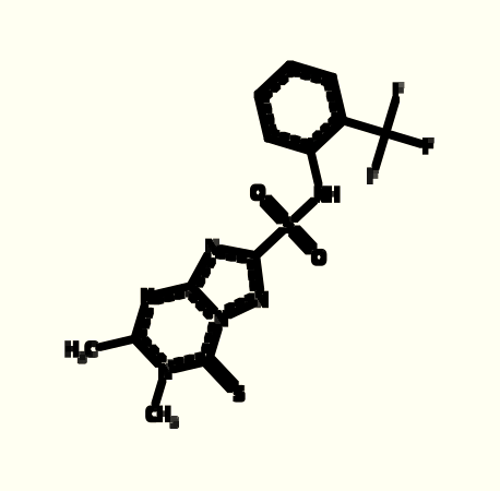 Cc1nc2nc(S(=O)(=O)Nc3ccccc3C(F)(F)F)nn2c(=S)n1C